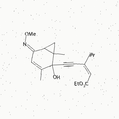 CCOC(=O)/C=C(\C#CC1(O)C(C)=CC(=NOC)C2CC21C)C(C)C